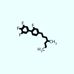 CCCC(C)CCCc1ccc(-c2cc(F)c(F)c(F)c2)c(F)c1